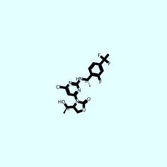 C[C@H](Nc1nc(Cl)cc(N2C(=O)OCC2[C@@H](C)O)n1)c1ccc(C(C)(F)F)cc1F